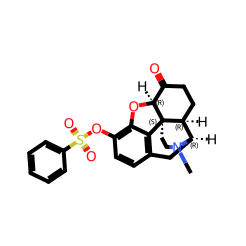 CN1CC[C@]23c4c5ccc(OS(=O)(=O)c6ccccc6)c4O[C@H]2C(=O)CC[C@H]3[C@H]1C5